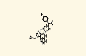 CC(C)C(c1ccc(F)cc1)N1C[C@H](C)N(c2nc3nncn3c3c2ncn3CC2CC2)C[C@H]1C